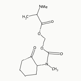 CNC(C)C(=O)OCOC(=O)N(C)C1CCCCC1=O